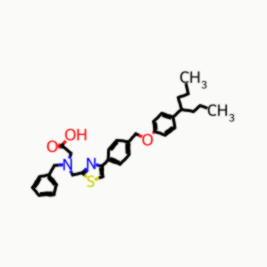 CCCC(CCC)c1ccc(OCc2ccc(-c3csc(CN(CC(=O)O)Cc4ccccc4)n3)cc2)cc1